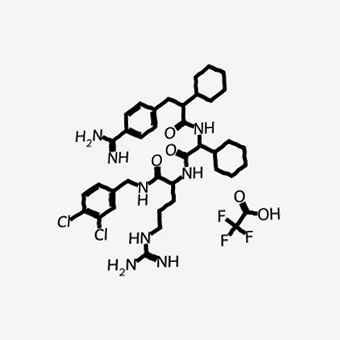 N=C(N)NCCCC(NC(=O)C(NC(=O)C(Cc1ccc(C(=N)N)cc1)C1CCCCC1)C1CCCCC1)C(=O)NCc1ccc(Cl)c(Cl)c1.O=C(O)C(F)(F)F